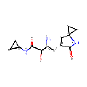 N[C@@H](C[C@@H]1CC2(CC2)NC1=O)C(O)C(=O)NC1CC1